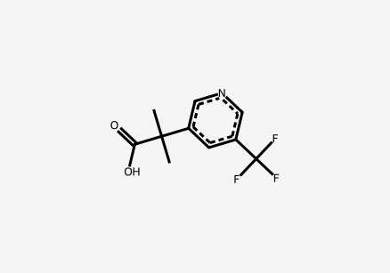 CC(C)(C(=O)O)c1cncc(C(F)(F)F)c1